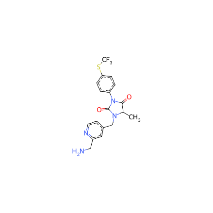 CC1C(=O)N(c2ccc(SC(F)(F)F)cc2)C(=O)N1Cc1ccnc(CN)c1